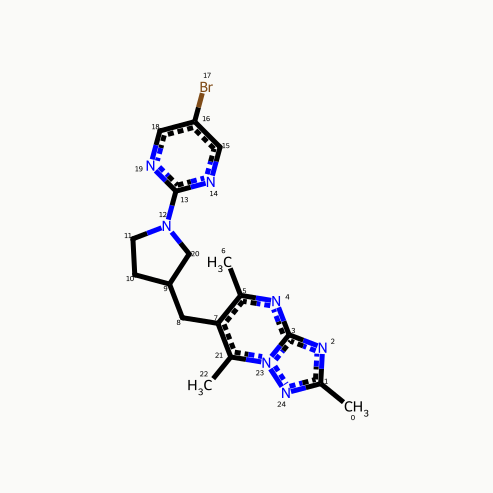 Cc1nc2nc(C)c(CC3CCN(c4ncc(Br)cn4)C3)c(C)n2n1